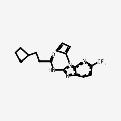 O=C(CCC1CCC1)Nc1nc2ccc(C(F)(F)F)nc2n1C1=CC=C1